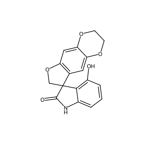 O=C1Nc2cccc(O)c2C12COc1cc3c(cc12)OCCO3